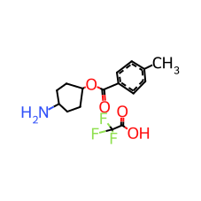 Cc1ccc(C(=O)OC2CCC(N)CC2)cc1.O=C(O)C(F)(F)F